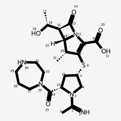 CC(=N)N1C[C@@H](SC2=C(C(=O)O)N3C(=O)[C@H]([C@@H](C)O)[C@H]3[C@H]2C)C[C@H]1C(=O)N1CCCNCC1